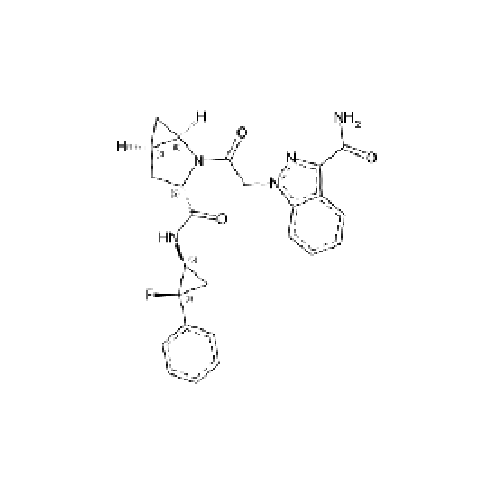 NC(=O)c1nn(CC(=O)N2[C@@H]3C[C@@H]3C[C@H]2C(=O)N[C@H]2C[C@]2(F)c2ccccc2)c2ccccc12